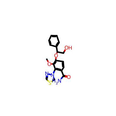 COc1c(OC(CO)c2ccccc2)ccc(C(N)=O)c1N1CSC=N1